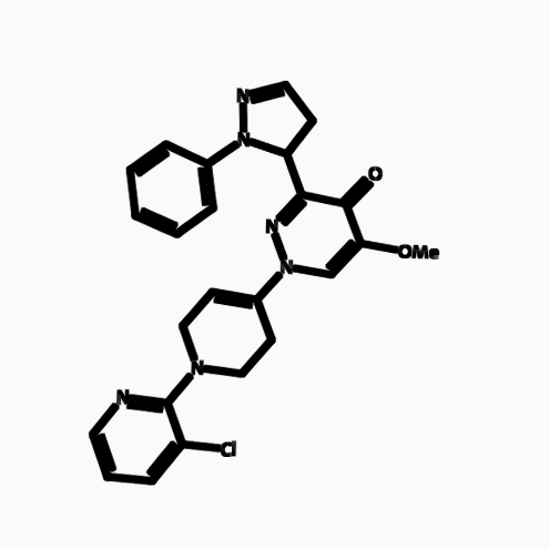 COc1cn(C2=CCN(c3ncccc3Cl)CC2)nc(C2CC=NN2c2ccccc2)c1=O